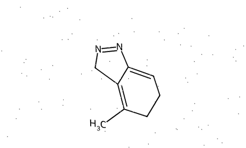 CC1=C2CN=NC2=CCC1